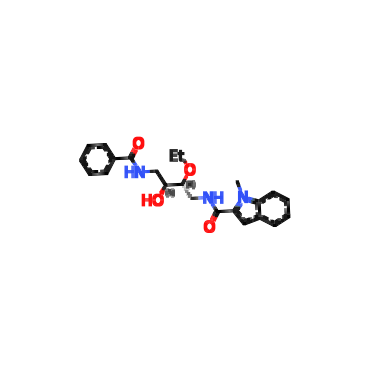 CCO[C@H](CNC(=O)c1cc2ccccc2n1C)[C@@H](O)CNC(=O)c1ccccc1